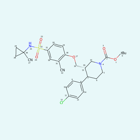 CC(C)(C)OC(=O)N1CCC(c2ccc(Cl)cc2)[C@H](COc2ccc(S(=O)(=O)NC3(C#N)CC3)cc2C#N)C1